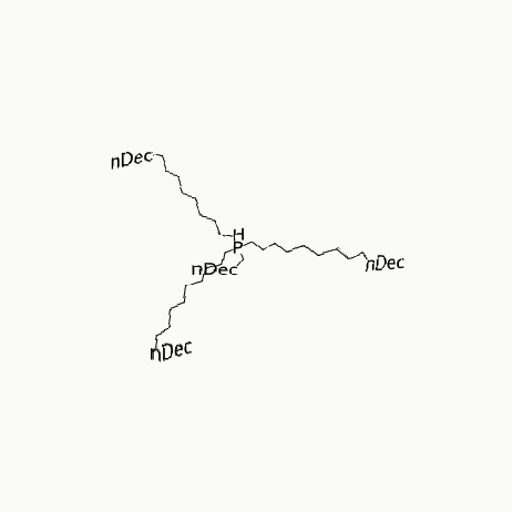 CCCCCCCCCCCCCCCCCCC[PH](CCCCCCCCCCC)(CCCCCCCCCCCCCCCCCCC)CCCCCCCCCCCCCCCCCCC